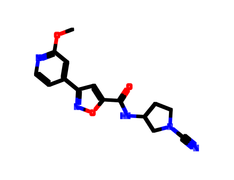 COc1cc(-c2cc(C(=O)NC3CCN(C#N)C3)on2)ccn1